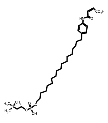 C[N+](C)(C)CCOP(=O)(O)OCCCCCCCCCCCCCCCCCCc1ccc(NC(=O)/C=C\C(=O)O)cc1